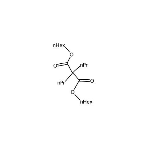 CCCCCCOC(=O)C(CCC)(CCC)C(=O)OCCCCCC